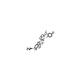 CCOC(=O)[C@H](Cc1ccc(F)cc1)NC(=O)c1cc2cc(C#N)ncc2[nH]1